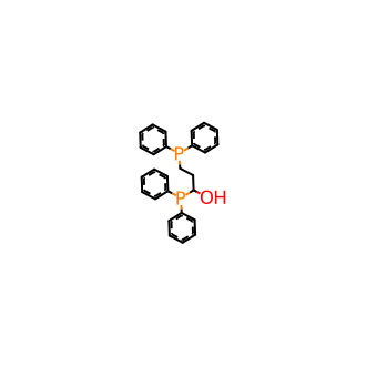 OC(CCP(c1ccccc1)c1ccccc1)P(c1ccccc1)c1ccccc1